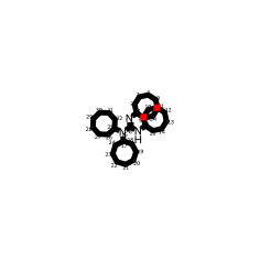 C1CCCC(N=C(NC2CCCCCCC2)N(C2CCCCCCC2)C2CCCCCCC2)CCC1